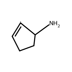 NC1[C]=CCC1